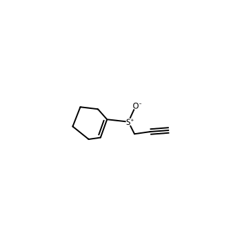 C#CC[S+]([O-])C1=CCCCC1